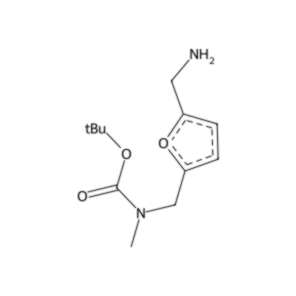 CN(Cc1ccc(CN)o1)C(=O)OC(C)(C)C